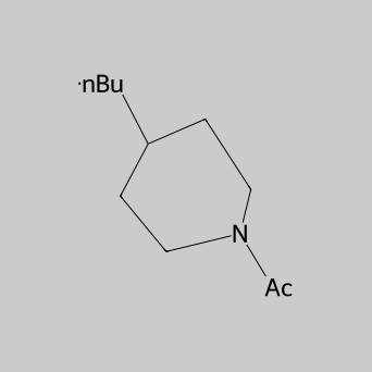 CCC[CH]C1CCN(C(C)=O)CC1